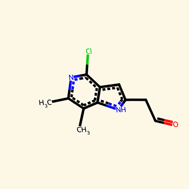 Cc1nc(Cl)c2cc(CC=O)[nH]c2c1C